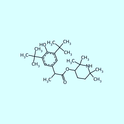 CC(C(=O)OC1CCC(C)(C)NC1(C)C)c1cc(C(C)(C)C)c(O)c(C(C)(C)C)c1